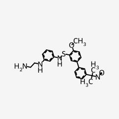 COc1ccc(-c2cccc(C(C)(C)N=O)c2)cc1SNc1cccc(NCCN)c1